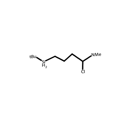 CNC(Cl)CCC[SiH2]C(C)(C)C